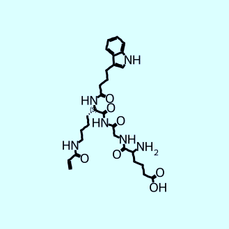 C=CC(=O)NCCCC[C@H](NC(=O)CCCc1c[nH]c2ccccc12)C(=O)NC(=O)CNC(=O)C(N)CCCC(=O)O